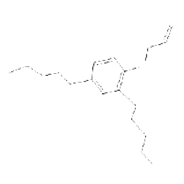 CCCCCc1ccc(OC[C]=O)c(CCCCC)c1